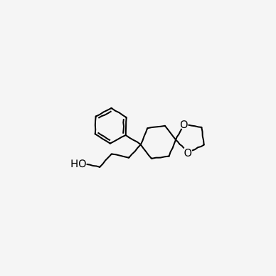 OCCCC1(c2ccccc2)CCC2(CC1)OCCO2